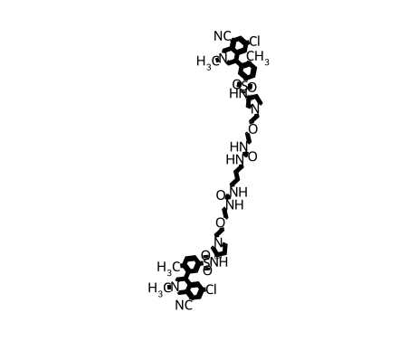 Cc1ccc(S(=O)(=O)N[C@H]2CCN(CCOCCNC(=O)NCCCCNC(=O)NCCOCCN3CC[C@H](NS(=O)(=O)c4ccc(C)c(C5CN(C)Cc6c(C#N)cc(Cl)cc65)c4)C3)C2)cc1C1CN(C)Cc2c(C#N)cc(Cl)cc21